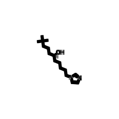 CC(C)(C)CCC[C@@H](O)CCCCCn1ccnc1